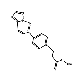 CC(C)(C)OC(=O)CC[n+]1ccc(-c2ccc3ncnn3n2)cc1